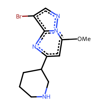 COc1cc(C2CCCNC2)nc2c(Br)cnn12